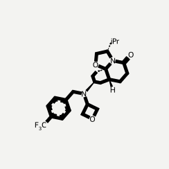 CC(C)[C@H]1CO[C@]23CC[C@H](N(Cc4ccc(C(F)(F)F)cc4)C4COC4)C[C@H]2CCC(=O)N13